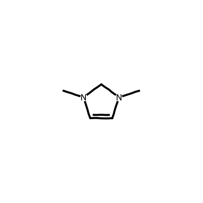 CN1C=CN(C)C1